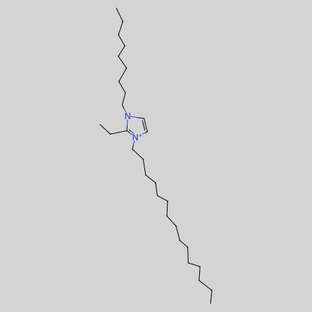 CCCCCCCCCCCCCCC[n+]1ccn(CCCCCCCCC)c1CC